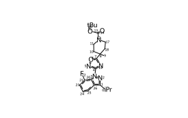 CC(C)c1nn(-c2noc(C3(C)CCN(C(=O)OC(C)(C)C)CC3)n2)c2c(F)cccc12